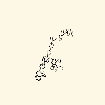 CN(C)C(=O)COC(=O)CCC(=O)N1CCC(C2CCN(C(=O)[C@@H](Cc3cc(Cl)c(N)c(C(F)(F)F)c3)OC(=O)N3CCC(N4CCc5ccccc5NC4=O)CC3)CC2)CC1